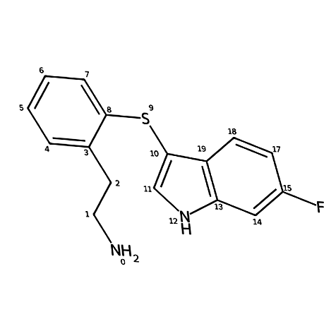 NCCc1ccccc1Sc1c[nH]c2cc(F)ccc12